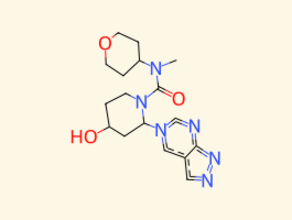 CN(C(=O)N1CCC(O)CC1n1cnc2nncc-2c1)C1CCOCC1